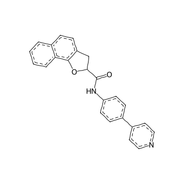 O=C(Nc1ccc(-c2ccncc2)cc1)C1Cc2ccc3ccccc3c2O1